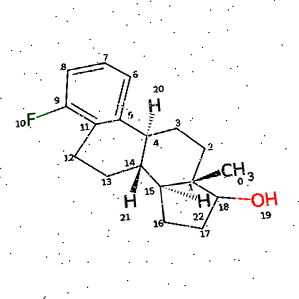 C[C@]12CC[C@@H]3c4cccc(F)c4CC[C@H]3[C@@H]1CCC2O